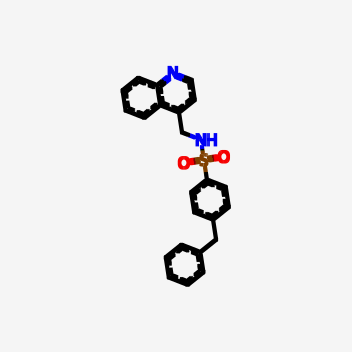 O=S(=O)(NCc1ccnc2ccccc12)c1ccc(Cc2ccccc2)cc1